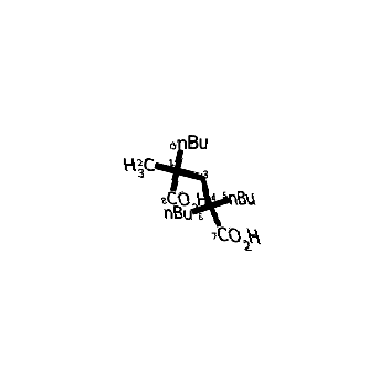 CCCCC(C)(CC(CCCC)(CCCC)C(=O)O)C(=O)O